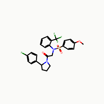 COc1ccc(S(=O)(=O)N(CC(=O)N2CCCC2c2ccc(F)cc2)c2ccccc2C(F)(F)F)cc1